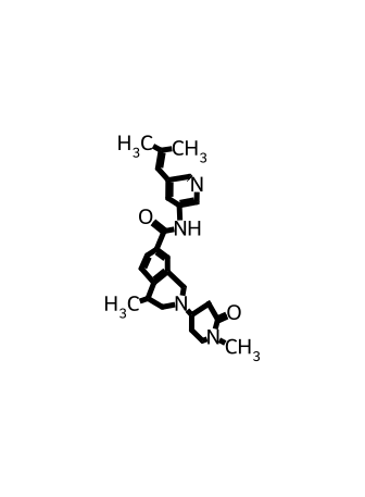 CC(C)=Cc1cncc(NC(=O)c2ccc3c(c2)CN(C2CCN(C)C(=O)C2)CC3C)c1